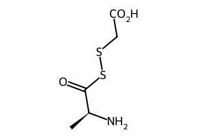 C[C@H](N)C(=O)SSCC(=O)O